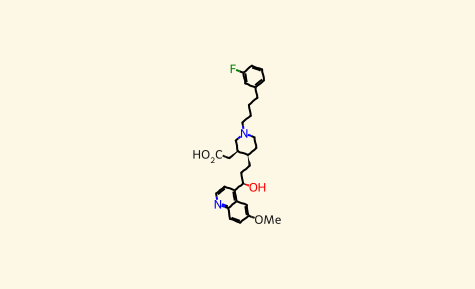 COc1ccc2nccc([C@H](O)CC[C@@H]3CCN(CCCCc4cccc(F)c4)C[C@@H]3CC(=O)O)c2c1